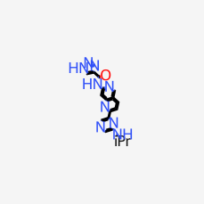 CC(C)Nc1cncc(-c2ccc3cnc(NC(=O)c4c[nH]nn4)cc3n2)n1